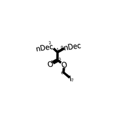 CCCCCCCCCCC(CCCCCCCCCC)C(=O)OCI